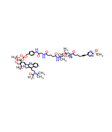 CC[C@@]1(OC(=O)OCc2ccc(NC(=O)CNC(=O)CCCC(=O)NC(C)(C)COC(C)(C)CNC(=O)CCCC#Cc3cnc([S+](C)[O-])nc3)cc2)C(=O)OCC(C=O)=C1/C=C1/c2nc3ccccc3c(CCN(C(C)=O)C(C)C)c2CN1C